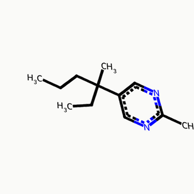 CCCC(C)(CC)c1cnc(C)nc1